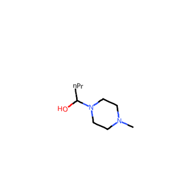 CCCC(O)N1CCN(C)CC1